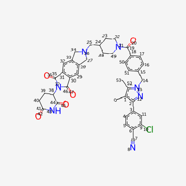 Cc1c(-c2ccc(C#N)c(Cl)c2)nn(Cc2ccc(C(=O)N3CCC(CN4Cc5cc6c(cc5C4)C(=O)N(C4CCC(=O)NC4=O)C6=O)CC3)cc2)c1C